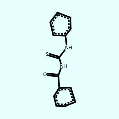 O=C(NC(=S)Nc1c[c]ccc1)c1ccccc1